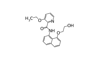 CCOc1cccnc1C(=O)Nc1cccc2cccc(OCCO)c12